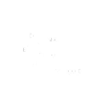 CCCCC(CC)(CC)C(=O)OOC(=O)OCC